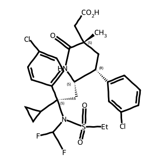 CCS(=O)(=O)N(C(F)F)[C@](C[C@@H]1NC(=O)[C@](C)(CC(=O)O)C[C@@H]1c1cccc(Cl)c1)(c1ccc(Cl)cc1)C1CC1